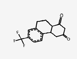 O=C1CC(=O)C2CCc3cc(C(F)(F)F)ccc3C2C1